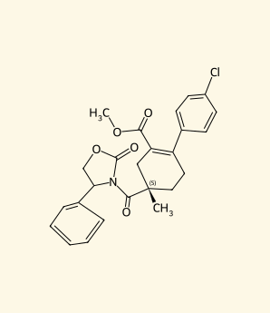 COC(=O)C1=C(c2ccc(Cl)cc2)CC[C@](C)(C(=O)N2C(=O)OCC2c2ccccc2)C1